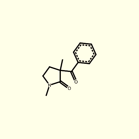 CN1CCC(C)(C(=O)c2ccccc2)C1=O